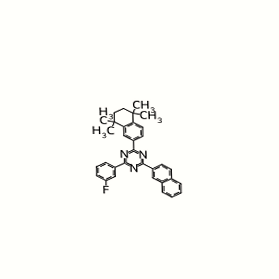 CC1(C)CCC(C)(C)c2cc(-c3nc(-c4cccc(F)c4)nc(-c4ccc5ccccc5c4)n3)ccc21